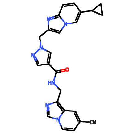 N#Cc1ccn2cnc(CNC(=O)c3cnn(Cc4cn5cc(C6CC6)ccc5n4)c3)c2c1